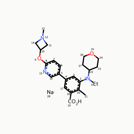 CCN(c1cc(-c2ccc(OC3CN(C)C3)nc2)cc(C(=O)O)c1C)C1CCOCC1.[Na]